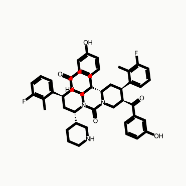 Cc1c(F)cccc1[C@@H]1C[C@@H](C2CCCNC2)N(C(=O)N2C[C@H](C(=O)c3cccc(O)c3)[C@H](c3cccc(F)c3C)C[C@H]2C2CCCNC2)C[C@@H]1C(=O)c1cccc(O)c1